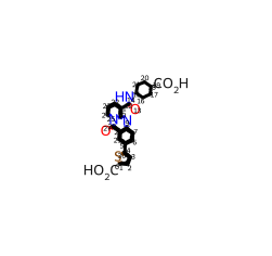 O=C(O)c1ccc(-c2ccc3nc4c(C(=O)N[C@H]5CC[C@@H](C(=O)O)CC5)cccn4c(=O)c3c2)s1